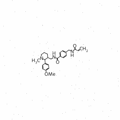 C=CC(=O)NCc1ccc(C(=O)NCC2CCCN(C)C2c2ccc(OC)cc2)cc1